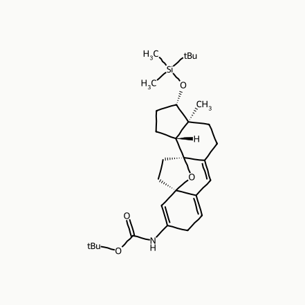 CC(C)(C)OC(=O)NC1=C[C@@]23CC[C@@]4(O2)C(=CC3=CC1)CC[C@]1(C)[C@@H](O[Si](C)(C)C(C)(C)C)CC[C@H]14